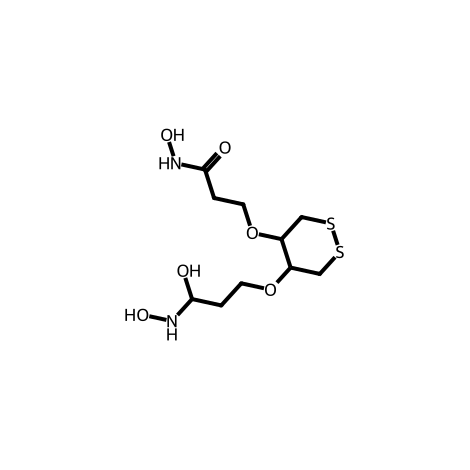 O=C(CCOC1CSSCC1OCCC(O)NO)NO